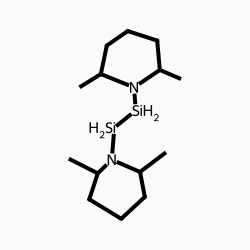 CC1CCCC(C)N1[SiH2][SiH2]N1C(C)CCCC1C